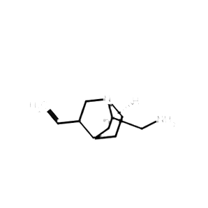 C=CC1CN2CCC1C[C@@H]2CN